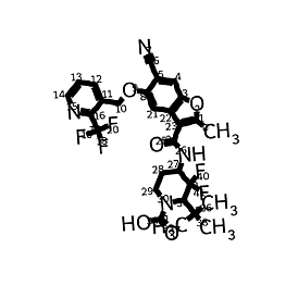 Cc1oc2cc(C#N)c(OCc3cccnc3C(F)(F)F)cc2c1C(=O)NC1CCN(C(=O)O)C(C(C)(C)C)C1(F)F